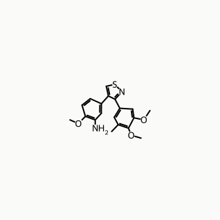 COc1ccc(-c2csnc2-c2cc(C)c(OC)c(OC)c2)cc1N